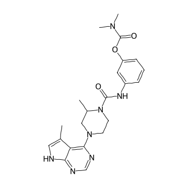 Cc1c[nH]c2ncnc(N3CCN(C(=O)Nc4cccc(OC(=O)N(C)C)c4)C(C)C3)c12